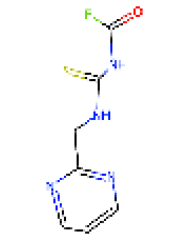 O=C(F)NC(=S)NCc1ncccn1